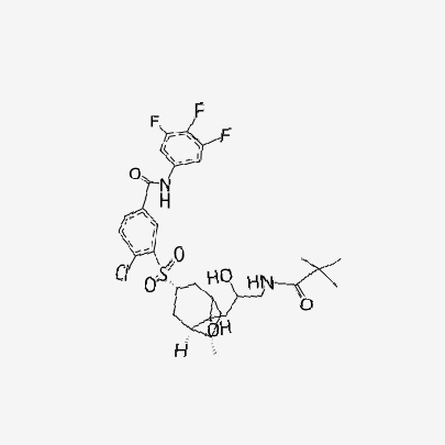 C[C@H]1CC2C[C@@H](S(=O)(=O)c3cc(C(=O)Nc4cc(F)c(F)c(F)c4)ccc3Cl)C[C@H]1[C@@]2(O)CC(O)CNC(=O)C(C)(C)C